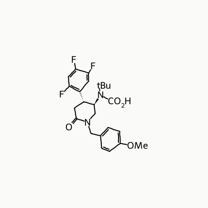 COc1ccc(CN2C[C@H](N(C(=O)O)C(C)(C)C)[C@@H](c3cc(F)c(F)cc3F)CC2=O)cc1